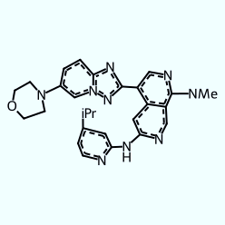 CNc1ncc(-c2nc3ccc(N4CCOCC4)cn3n2)c2cc(Nc3cc(C(C)C)ccn3)ncc12